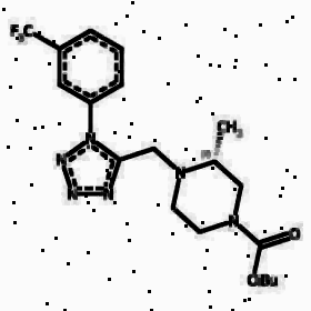 CC(C)COC(=O)N1CCN(Cc2nnnn2-c2cccc(C(F)(F)F)c2)[C@H](C)C1